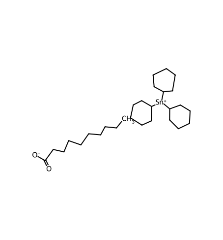 C1CC[CH]([Sn+]([CH]2CCCCC2)[CH]2CCCCC2)CC1.CCCCCCCCCC(=O)[O-]